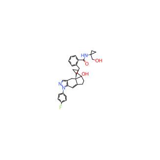 O=C(NC1(CO)CC1)c1ccccc1CC[C@]1(O)CCC2=Cc3c(cnn3-c3ccc(F)cc3)C[C@@]21C1CC1